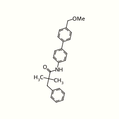 COCc1ccc(-c2ccc(NC(=O)C(C)(C)Cc3ccccc3)cc2)cc1